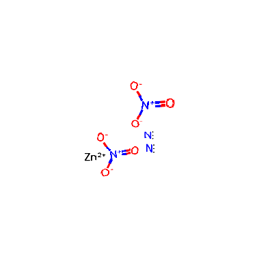 O=[N+]([O-])[O-].O=[N+]([O-])[O-].[N].[N].[Zn+2]